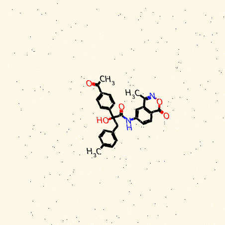 CC(=O)c1ccc(C(O)(Cc2ccc(C)cc2)C(=O)Nc2ccc3c(=O)onc(C)c3c2)cc1